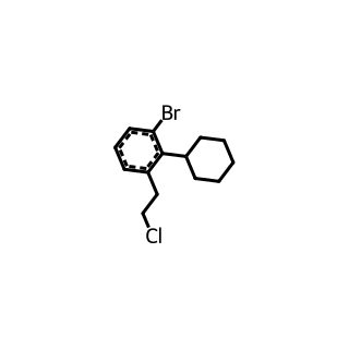 ClCCc1cccc(Br)c1C1CCCCC1